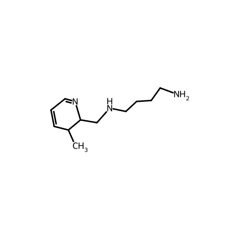 CC1C=CC=NC1CNCCCCN